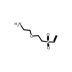 C=CS(=O)(=O)CCOCCN